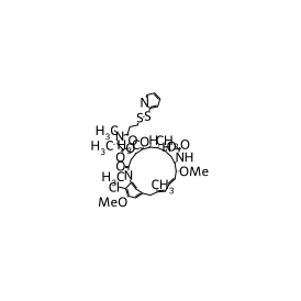 COc1cc2cc(c1Cl)N(C)C(=O)C[C@H](OC(=O)[C@H](C)N(C)C(=O)CCSSc1ccccn1)[C@]1(C)O[C@H]1[C@H](C)[C@@H]1CC(NC(=O)O1)[C@H](OC)/C=C/C=C(\C)C2